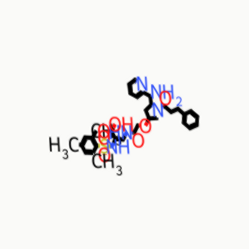 Cc1cc(C)c(S(=O)(=O)NC(CNC(=O)COC2CC(C(N)c3ccccn3)N(C(=O)CCc3ccccc3)C2)C(=O)O)c(C)c1